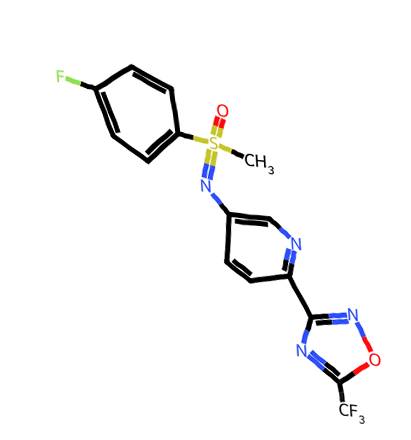 CS(=O)(=Nc1ccc(-c2noc(C(F)(F)F)n2)nc1)c1ccc(F)cc1